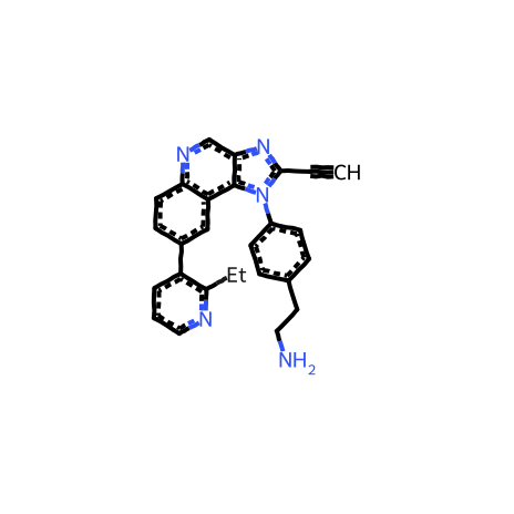 C#Cc1nc2cnc3ccc(-c4cccnc4CC)cc3c2n1-c1ccc(CCN)cc1